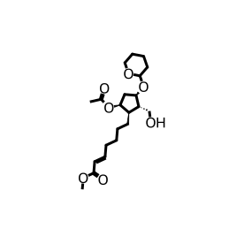 COC(=O)/C=C/CCCC[C@@H]1[C@@H](CO)[C@H](OC2CCCCO2)C[C@@H]1OC(C)=O